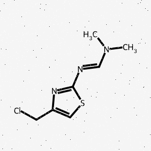 CN(C)C=Nc1nc(CCl)cs1